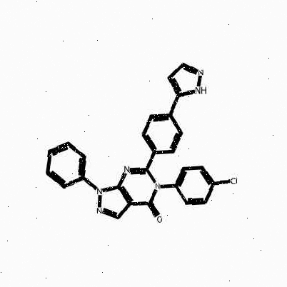 O=c1c2cnn(-c3ccccc3)c2nc(-c2ccc(-c3ccn[nH]3)cc2)n1-c1ccc(Cl)cc1